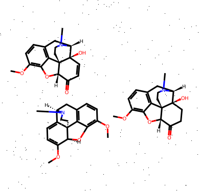 COC1=CC=C2[C@H]3Cc4ccc(OC)c5c4[C@@]2(CCN3C)[C@H]1O5.COc1ccc2c3c1O[C@H]1C(=O)C=C[C@@]4(O)[C@@H](C2)N(C)CC[C@]314.COc1ccc2c3c1O[C@H]1C(=O)CC[C@@]4(O)[C@@H](C2)N(C)CC[C@]314